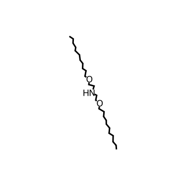 CCCCCCCCCCCOCCNCCOCCCCCCCCCCC